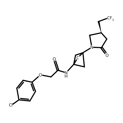 O=C(COc1ccc(Cl)cc1)NC12CC(N3C[C@@H](CC(F)(F)F)CC3=O)(C1)C2